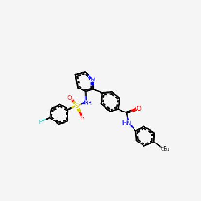 CC(C)(C)c1ccc(NC(=O)c2ccc(-c3ncccc3NS(=O)(=O)c3ccc(F)cc3)cc2)cc1